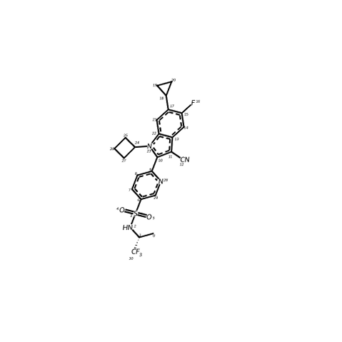 C[C@@H](NS(=O)(=O)c1ccc(-c2c(C#N)c3cc(F)c(C4CC4)cc3n2C2CCC2)nc1)C(F)(F)F